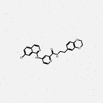 O=C(NCCc1ccc2c(c1)OCCO2)c1cc(Nc2nccc3ccc(Cl)cc23)ccn1